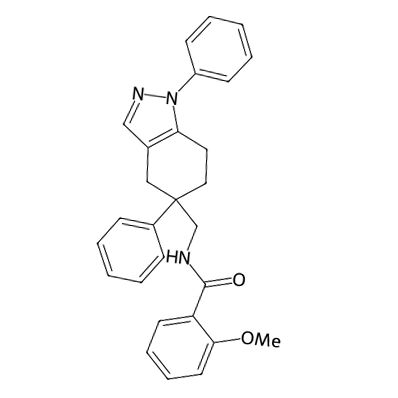 COc1ccccc1C(=O)NCC1(c2ccccc2)CCc2c(cnn2-c2ccccc2)C1